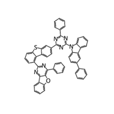 c1ccc(-c2ccc3c(c2)c2ccccc2n3-c2nc(-c3ccccc3)nc(-c3ccc4c(c3)sc3cccc(-c5nc(-c6ccccc6)c6oc7ccccc7c6n5)c34)n2)cc1